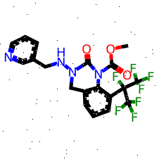 COC(=O)N1C(=O)N(NCc2cccnc2)Cc2cccc(C(F)(C(F)(F)F)C(F)(F)F)c21